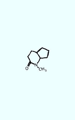 CN1C(=O)CCC2CCCC21